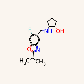 CC(C)c1nc2cc(CN[C@@H]3CCC[C@@H]3O)c(F)cc2o1